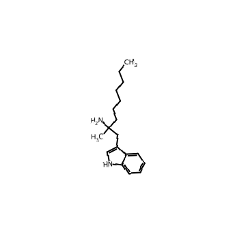 CCCCCCCC(C)(N)Cc1c[nH]c2ccccc12